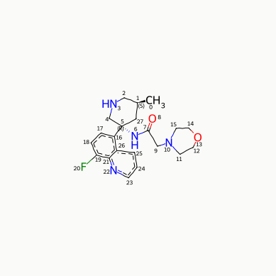 C[C@@H]1CNC[C@](NC(=O)CN2CCOCC2)(c2ccc(F)c3ncccc23)C1